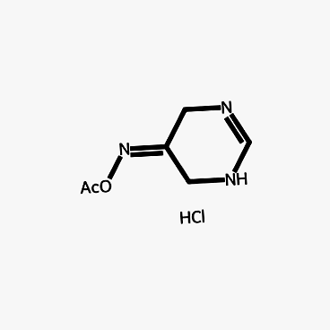 CC(=O)O/N=C1/CN=CNC1.Cl